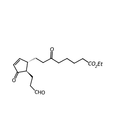 CCOC(=O)CCCCC(=O)CC[C@H]1C=CC(=O)[C@@H]1CCC=O